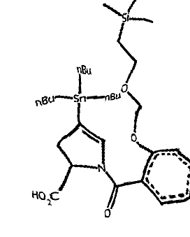 CCC[CH2][Sn]([CH2]CCC)([CH2]CCC)[C]1=CN(C(=O)c2ccccc2OCOCC[Si](C)(C)C)C(C(=O)O)C1